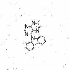 Cc1nc2ncnc(-n3c4ccccc4c4ccccc43)c2nc1C